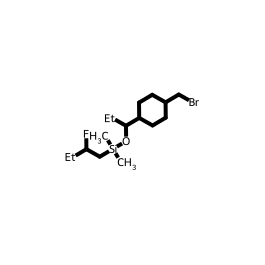 CCC(F)C[Si](C)(C)OC(CC)C1CCC(CBr)CC1